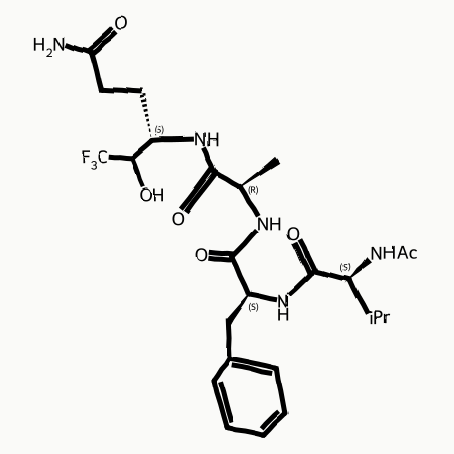 CC(=O)N[C@H](C(=O)N[C@@H](Cc1ccccc1)C(=O)N[C@H](C)C(=O)N[C@@H](CCC(N)=O)C(O)C(F)(F)F)C(C)C